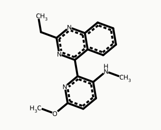 CCc1nc(-c2nc(OC)ccc2NC)c2ccccc2n1